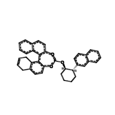 C1=CCc2c(ccc3op(O[C@@H]4CCCC[C@H]4c4ccc5ccccc5c4)oc4ccc5ccccc5c4c23)C1